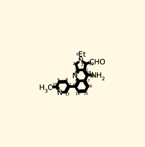 CCN1Cc2nc3c(-c4ccc(C)nc4)cccc3c(N)c2C1C=O